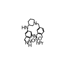 CCCS(=O)(=O)Nc1cc(CN2CCCC(Nc3ccc4[nH]ncc4c3)C2)ccc1C